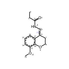 CCC(=O)N/N=C1/CCOc2c(OC)cccc21